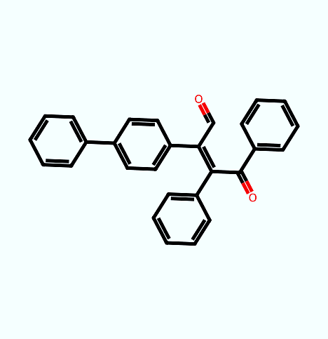 O=CC(=C(C(=O)c1ccccc1)c1ccccc1)c1ccc(-c2ccccc2)cc1